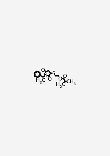 C=C(C)C(=O)OCCSC1CC(=O)N([C@H](C)c2ccccc2)C1=O